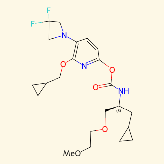 COCCOC[C@H](CC1CC1)NC(=O)Oc1ccc(N2CC(F)(F)C2)c(OCC2CC2)n1